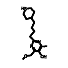 COCc1nc(CCCCC2CCNCC2)nc(C)c1O